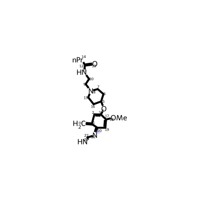 C=C1C=C(OC2CCN(CCNC(=O)CCC)CC2)C(OC)=C/C1=N/C=N